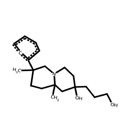 CC1(c2ccccc2)CCC2(C)CC(O)(CCCO)CCN2C1